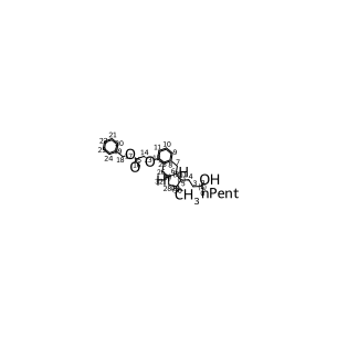 CCCCC[C@H](O)CC[C@@H]1[C@H]2Cc3cccc(OCC(=O)OCc4ccccc4)c3C[C@H]2C[C@H]1C